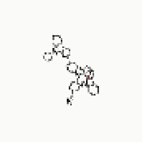 N#Cc1ccc(-n2c3ccccc3c3cc(-c4ccc5c6ccccc6n(-c6ccccc6)c5c4)ccc32)c(-n2c3ccccc3c3ccccc32)c1